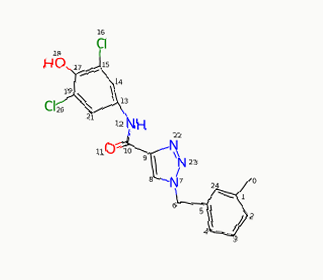 Cc1cccc(Cn2cc(C(=O)Nc3cc(Cl)c(O)c(Cl)c3)nn2)c1